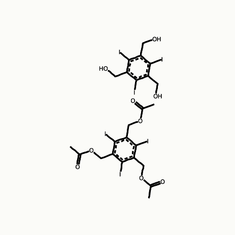 CC(=O)OCc1c(I)c(COC(C)=O)c(I)c(COC(C)=O)c1I.OCc1c(I)c(CO)c(I)c(CO)c1I